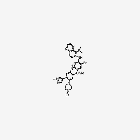 CCN1CCN(c2cc(OC)c(Nc3ncc(Br)c(Nc4ccc5nccnc5c4P(C)C)n3)cc2-c2cnn(C)c2)CC1